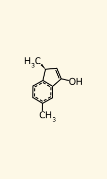 Cc1ccc2c(c1)C(O)=C[C@@H]2C